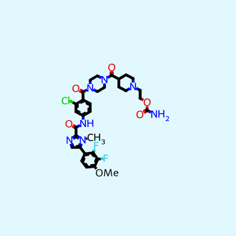 COc1ccc(-c2cnc(C(=O)Nc3ccc(C(=O)N4CCN(C(=O)C5CCN(CCOC(N)=O)CC5)CC4)c(Cl)c3)n2C)c(F)c1F